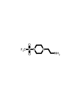 NCCN1CCN(S(=O)(=O)C(F)(F)F)CC1